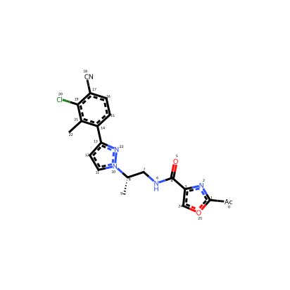 CC(=O)c1nc(C(=O)NC[C@H](C)n2ccc(-c3ccc(C#N)c(Cl)c3C)n2)co1